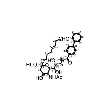 CC(=O)N[C@@H]1[C@@H](O)C[C@](OCCCSCCC=O)(C(=O)O)O[C@H]1C(O)[C@H](O)CNC(=O)c1ccc(-c2ccccc2)cc1